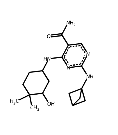 CC1(C)CCC(Nc2nc(NC34CC(C3)C4)ncc2C(N)=O)CC1O